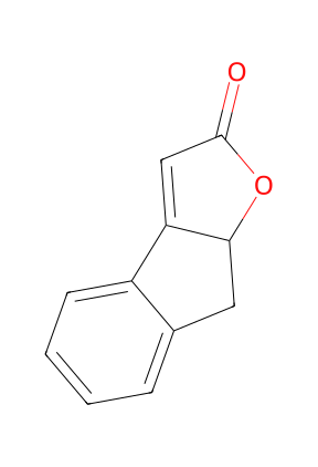 O=C1C=C2c3ccccc3CC2O1